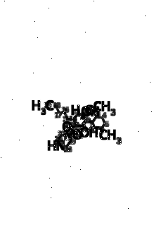 C=C(C)C1CCC(C)=CC1c1c(O)cc(CCCCC)c(S(=O)(=O)N2CCNCC2)c1O